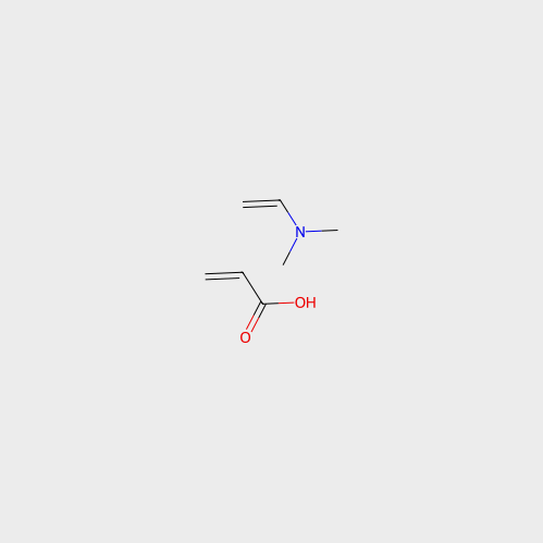 C=CC(=O)O.C=CN(C)C